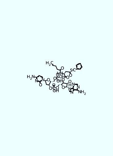 C=CCCC(=O)N[C@@H](CC(=O)SCc1ccccc1)C(=O)O[C@H]1[C@@H](O)[C@H](n2cnc3c(N)ncnc32)O[C@@H]1COP(=O)(O)O[C@H]1C[C@H](n2ccc(N)nc2=O)O[C@@H]1COP(=O)(O)O